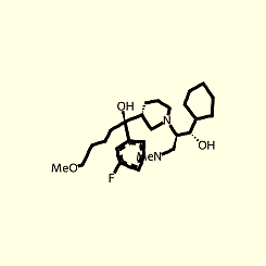 CNC[C@H]([C@@H](O)C1CCCCC1)N1CCC[C@@H]([C@@](O)(CCCCOC)c2cccc(F)c2)C1